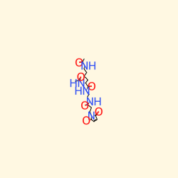 CC(=O)NCCCCC(NC(C)=O)C(=O)NCCNC(=O)CCN1C(=O)C=CC1=O